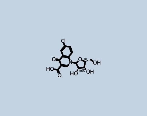 O=C(O)c1cn(C2O[C@H](CO)[C@@H](O)[C@H]2O)c2ccc(Cl)cc2c1=O